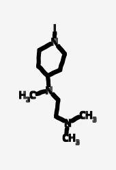 CN(C)CCN(C)C1CCN(I)CC1